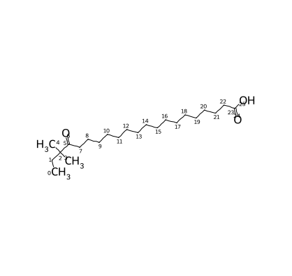 CCC(C)(C)C(=O)CCCCCCCCCCCCCCCCC(=O)O